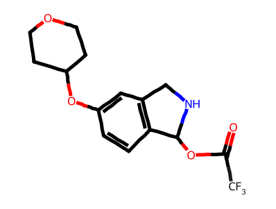 O=C(OC1NCc2cc(OC3CCOCC3)ccc21)C(F)(F)F